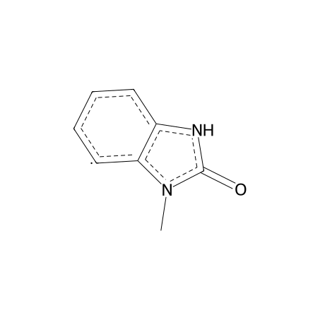 Cn1c(=O)[nH]c2ccc[c]c21